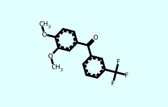 COc1ccc(C(=O)c2cccc(C(F)(F)F)c2)cc1OC